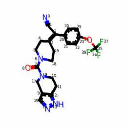 N#CC(=C1CCN(C(=O)N2CCc3[nH]ncc3C2)CC1)c1ccc(OC(F)(F)F)cc1